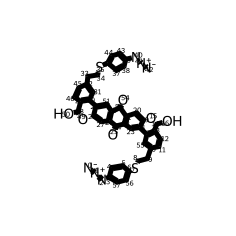 [N-]=[N+]=Nc1ccc(SCCc2ccc(C(=O)O)c(-c3ccc4c(c3)C(=O)c3ccc(-c5cc(CCSc6ccc(N=[N+]=[N-])cc6)ccc5C(=O)O)cc3C4=O)c2)cc1